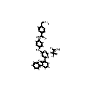 NCc1ccc(C(=O)Nc2ccc(Nc3cc(-c4cccc5c4oc4ccccc45)ncn3)cc2)nc1.O=C(O)C(F)(F)F